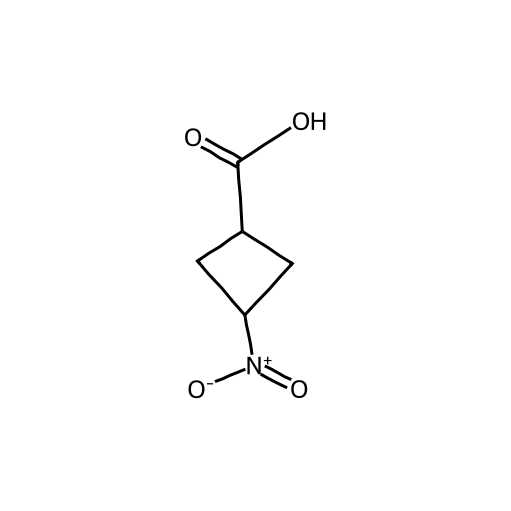 O=C(O)C1CC([N+](=O)[O-])C1